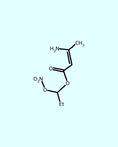 CCC(OC(=O)C=C(C)N)O[N+](=O)[O-]